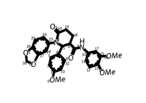 COc1ccc(C2C(C(=O)Nc3ccc(OC)c(OC)c3)CCC(=O)N2c2ccc3c(c2)OCO3)cc1